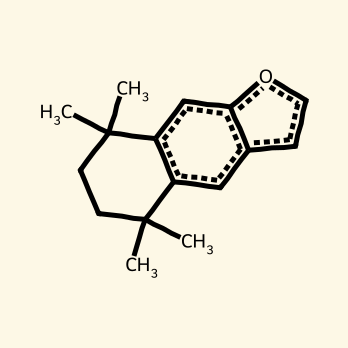 CC1(C)CCC(C)(C)c2cc3occc3cc21